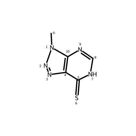 Cn1nnc2c(=S)[nH]cnc21